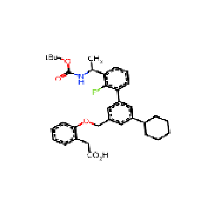 CC(NC(=O)OC(C)(C)C)c1cccc(-c2cc(COc3ccccc3CC(=O)O)cc(C3CCCCC3)c2)c1F